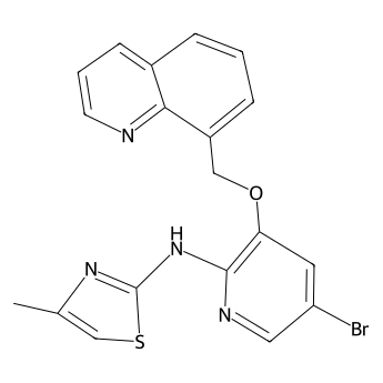 Cc1csc(Nc2ncc(Br)cc2OCc2cccc3cccnc23)n1